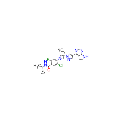 C[C@@H](NC(=O)c1cc(Cl)c(N2CC(CC#N)(n3cc(-c4ncnc5[nH]ccc45)cn3)C2)cc1F)C1CC1